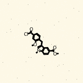 COC(=O)c1ccc2c(c1)c(Cc1ccc(C(=O)Cl)cc1OC)cn2C